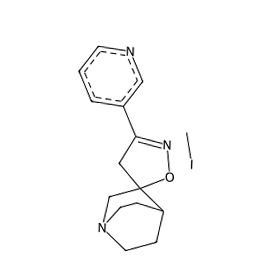 CI.c1cncc(C2=NOC3(C2)CN2CCC3CC2)c1